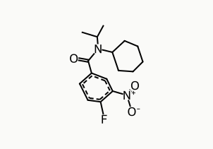 CC(C)N(C(=O)c1ccc(F)c([N+](=O)[O-])c1)C1CCCCC1